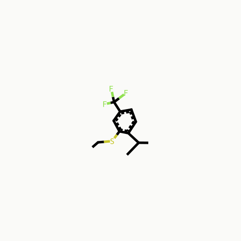 CCSc1cc(C(F)(F)F)ccc1C(C)C